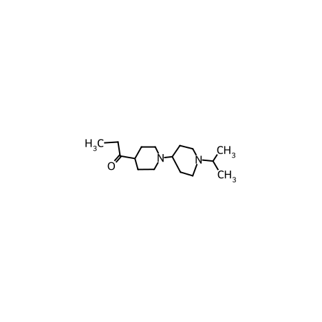 CCC(=O)C1CCN(C2CCN(C(C)C)CC2)CC1